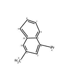 [CH2]c1cc(C(C)C)c2ccccc2c1